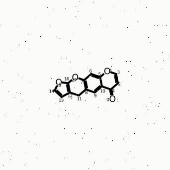 O=c1ccoc2cc3c(cc12)Cc1ccoc1O3